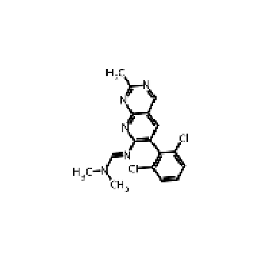 Cc1ncc2cc(-c3c(Cl)cccc3Cl)c(N=CN(C)C)nc2n1